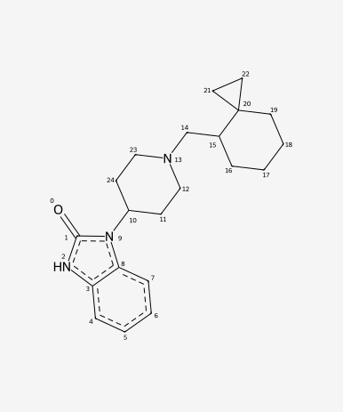 O=c1[nH]c2ccccc2n1C1CCN(CC2CCCCC23CC3)CC1